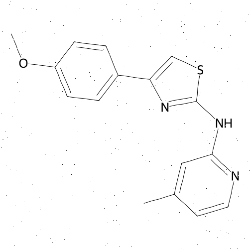 COc1ccc(-c2csc(Nc3cc(C)ccn3)n2)cc1